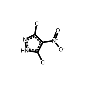 O=[N+]([O-])c1c(Cl)n[nH]c1Cl